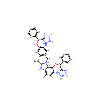 CCCCc1nc2c(C)ccc(OC(c3ccccc3)c3nnn[nH]3)c2n1Cc1ccc(OC(c2ccccc2)c2nnn[nH]2)cc1